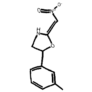 Cc1cccc(C2CN/C(=C\[N+](=O)[O-])O2)c1